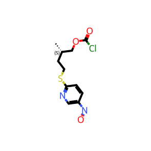 C[C@@H](CCSc1ccc(N=O)cn1)COC(=O)Cl